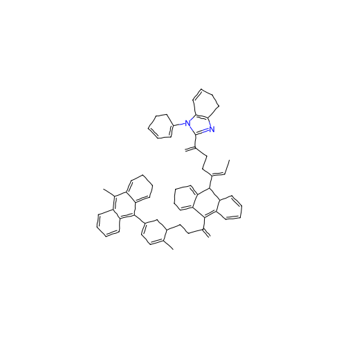 C=C(CCC1CC(c2c3c(c(C)c4ccccc24)=CCCC=3)=CC=C1C)C1=C2C=CC=CC2C(/C(=C/C)CCC(=C)c2nc3c(n2C2=CC=CCC2)C=CCC3)C2=CCCC=C21